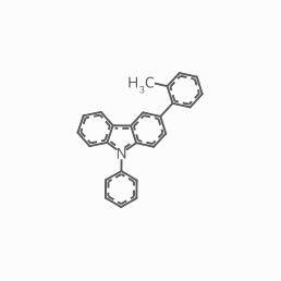 Cc1ccccc1-c1ccc2c(c1)c1ccccc1n2-c1ccccc1